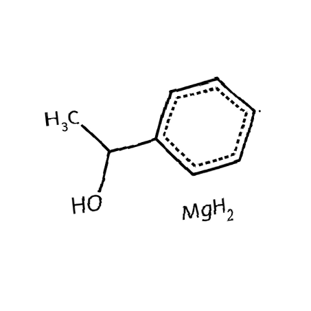 CC(O)c1cc[c]cc1.[MgH2]